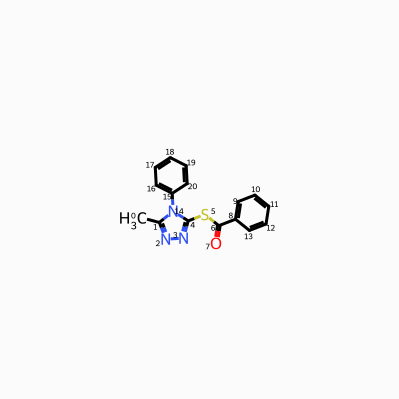 Cc1nnc(SC(=O)c2ccccc2)n1-c1ccccc1